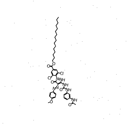 CCCCCCCCCCCCCCCCOC(=O)c1cc(Cl)c(-n2[nH]c(NC(=O)Nc3cccc(NC(C)=O)c3)c(N=Nc3ccc(OC)cc3)c2=O)c(Cl)c1